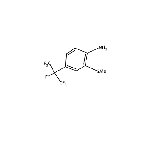 CSc1cc(C(F)(C(F)(F)F)C(F)(F)F)ccc1N